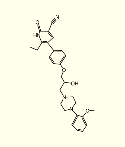 CCc1[nH]c(=O)c(C#N)cc1-c1ccc(OCC(O)CN2CCN(c3ccccc3OC)CC2)cc1